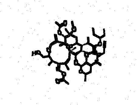 C#CCCN(C)C1CC(C)O[C@@H](O[C@H]([C@@H](C)[C@H](C2C[C@@](C)(OC)[C@@H](OC(C)=O)C(C)O2)C(C)C(=O)OC(CC)CC)[C@@]2(C)C[C@@H](C)/C(=N\OC(C)=O)C(C)C(CO)OCC(=C)CO2)[C@@H]1OC(C)=O